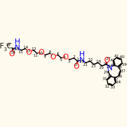 O=C(CCOCCOCCOCCOCCNC(=O)C(F)(F)F)NCCCCCC(=O)N1Cc2ccccc2/C=C\c2ccccc21